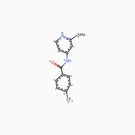 CSc1cc(NC(=O)c2ccc(C(F)(F)F)cc2)ccn1